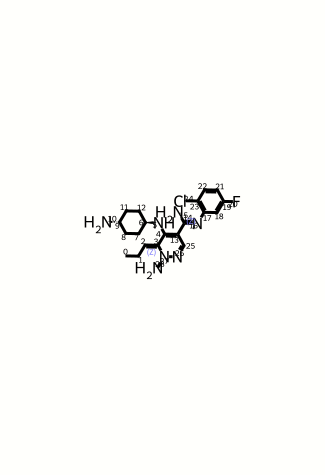 CC/C=C1C(N[C@H]2CC[C@H](N)CC2)=C(/C(N)=N/c2cc(F)ccc2Cl)C=NN/1N